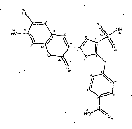 O=C(O)c1ccc(Cc2sc(-c3cc4cc(Cl)c(O)cc4oc3=O)cc2S(=O)(=O)O)cc1